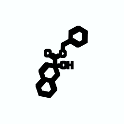 O=C(OCc1ccccc1)C1(O)C=Cc2ccccc2C1